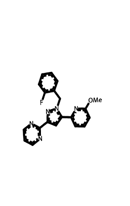 COc1cccc(-c2cc(-c3ncccn3)nn2Cc2ccccc2F)n1